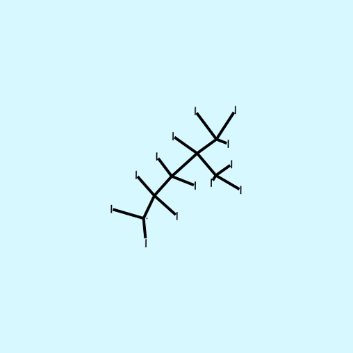 I[C](I)C(I)(I)C(I)(I)C(I)(C(I)(I)I)C(I)(I)I